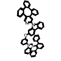 c1ccc(-c2cccc(-c3ccccc3)c2-[n+]2cn(-c3cccc(Oc4ccc5c6ccccc6n(-c6cc7c(cn6)-c6ccccc6-c6ccccc6-c6ccccc6-7)c5c4)c3)c3ccccc32)cc1